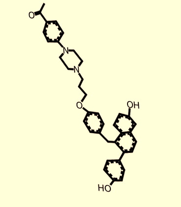 CC(=O)c1ccc(N2CCN(CCCOc3ccc(Cc4c(-c5ccc(O)cc5)ccc5cc(O)ccc45)cc3)CC2)cc1